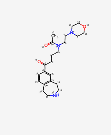 O=C(CCCN(CCN1CCOCC1)C(=O)C(F)(F)F)c1ccc2c(c1)CCNCC2